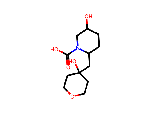 O=C(O)N1CC(O)CCC1CC1(O)CCOCC1